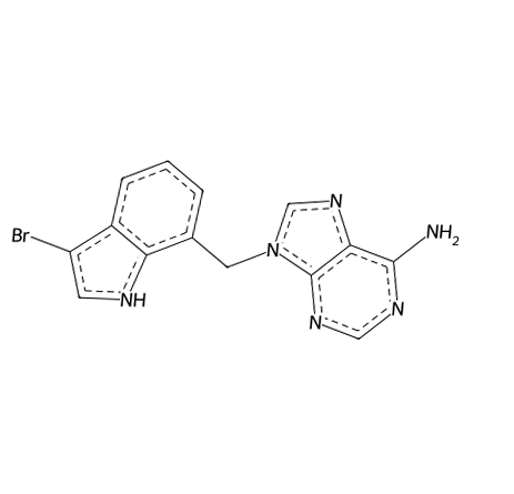 Nc1ncnc2c1ncn2Cc1cccc2c(Br)c[nH]c12